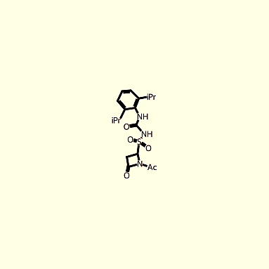 CC(=O)N1C(=O)CC1S(=O)(=O)NC(=O)Nc1c(C(C)C)cccc1C(C)C